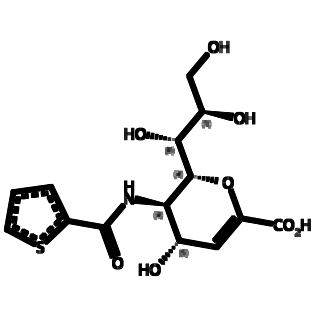 O=C(O)C1=C[C@H](O)[C@@H](NC(=O)c2cccs2)[C@H]([C@H](O)[C@H](O)CO)O1